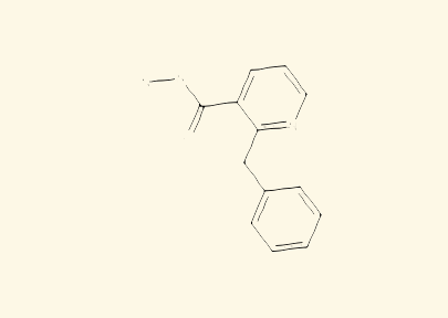 NNC(=O)c1cccnc1Cc1ccccc1